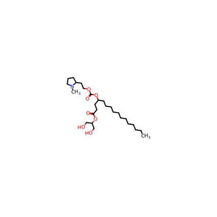 CCCCCCCCCCCCC(CCC(=O)OC(CO)CO)OC(=O)OCCC1CCCN1C